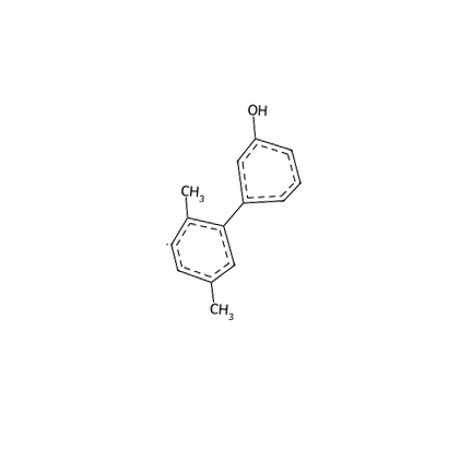 Cc1c[c]c(C)c(-c2cccc(O)c2)c1